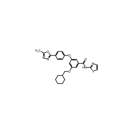 Cc1nnc(-c2ccc(Oc3cc(OCC4CCCCC4)cc(C(=O)Nc4nccs4)c3)cc2)o1